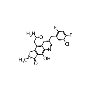 CN1Cc2c(c(O)c3ncc(Cc4cc(Cl)c(F)cc4F)cc3c2CC(N)=O)C1=O